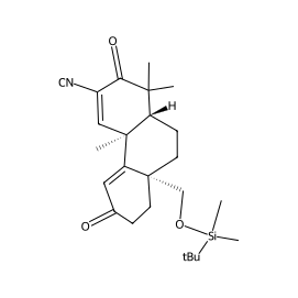 [C-]#[N+]C1=C[C@]2(C)C3=CC(=O)CC[C@]3(CO[Si](C)(C)C(C)(C)C)CC[C@H]2C(C)(C)C1=O